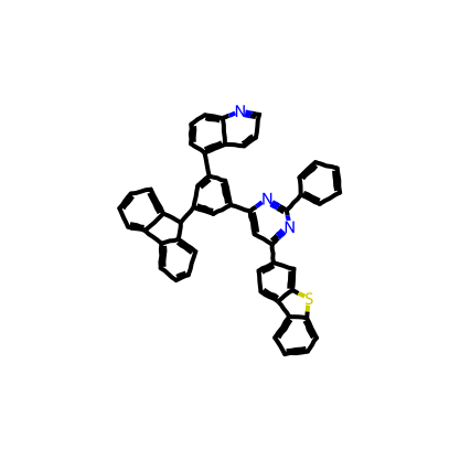 c1ccc(-c2nc(-c3cc(-c4cccc5ncccc45)cc(C4c5ccccc5-c5ccccc54)c3)cc(-c3ccc4c(c3)sc3ccccc34)n2)cc1